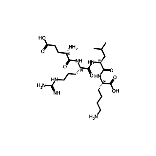 CC(C)C[C@H](NC(=O)[C@H](CCCNC(=N)N)NC(=O)[C@@H](N)CCC(=O)O)C(=O)N[C@@H](CCCCN)C(=O)O